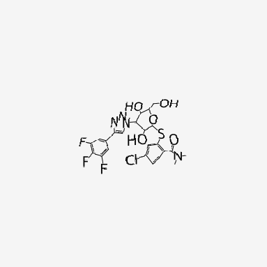 CN(C)C(=O)c1ccc(Cl)cc1SC1OC(CO)C(O)C(n2cc(-c3cc(F)c(F)c(F)c3)nn2)C1O